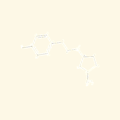 Cc1ccc(CCOC2CCC(N)C2)cc1